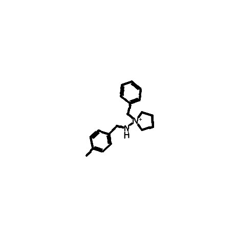 Cc1ccc(CN[N+]2(Cc3ccccc3)CCCC2)cc1